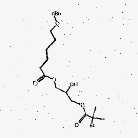 CCCCOCCCCCC(=O)OCC(O)COC(=O)C(C)(C)CC